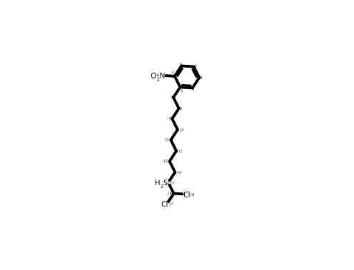 O=[N+]([O-])c1ccccc1CCCCCCCC[SiH2]C(Cl)Cl